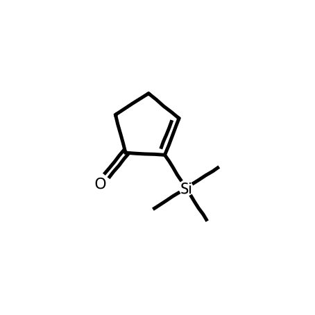 C[Si](C)(C)C1=CCCC1=O